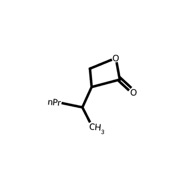 CCCC(C)C1COC1=O